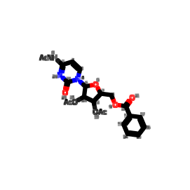 CC(=O)Nc1ccn(C2OC(COC(=O)c3ccccc3)C(OC(C)=O)C2OC(C)=O)c(=O)n1